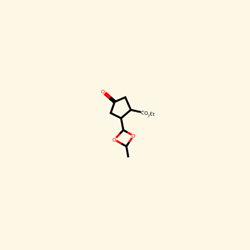 CCOC(=O)C1CC(=O)CC1C1OC(C)O1